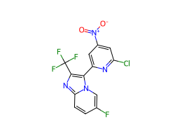 O=[N+]([O-])c1cc(Cl)nc(-c2c(C(F)(F)F)nc3ccc(F)cn23)c1